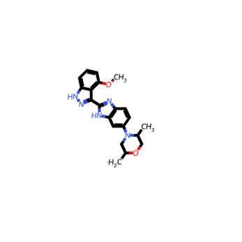 [CH2]C1CN(c2ccc3nc(-c4n[nH]c5cccc(OC)c45)[nH]c3c2)C(C)CO1